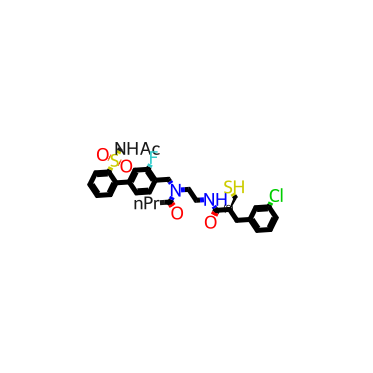 CCCC(=O)N(CCNC(=O)[C@@H](CS)Cc1cccc(Cl)c1)Cc1ccc(-c2ccccc2S(=O)(=O)NC(C)=O)cc1F